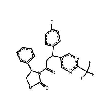 O=C(CC(c1ccc(F)cc1)c1cnc(C(F)(F)F)nc1)N1C(=O)OCC1c1ccccc1